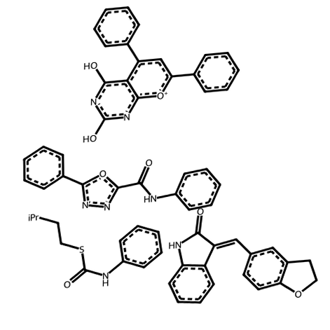 CC(C)CCSC(=O)Nc1ccccc1.O=C(Nc1ccccc1)c1nnc(-c2ccccc2)o1.O=C1Nc2ccccc2C1=Cc1ccc2c(c1)CCO2.Oc1nc(O)c2c(-c3ccccc3)cc(-c3ccccc3)[o+]c2n1